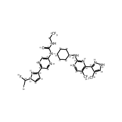 O=C(NCC(F)(F)F)N(c1cnc(-c2ccn(C(F)F)n2)cn1)[C@H]1CC[C@H](Nc2ncc(C(F)(F)F)c(-c3n[nH]cc3Cl)n2)CC1